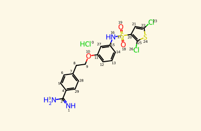 Cl.N=C(N)c1ccc(CCOc2cccc(NS(=O)(=O)c3cc(Cl)sc3Cl)c2)cc1